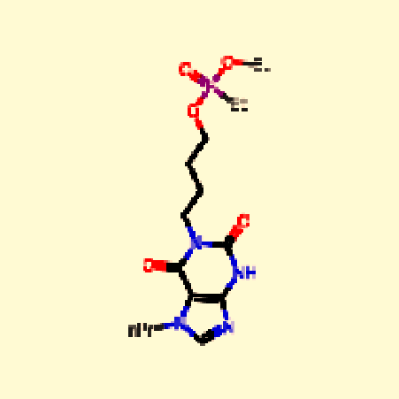 CCCn1cnc2[nH]c(=O)n(CCCCOP(=O)(CC)OCC)c(=O)c21